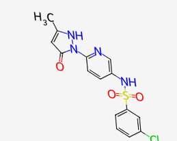 Cc1cc(=O)n(-c2ccc(NS(=O)(=O)c3cccc(Cl)c3)cn2)[nH]1